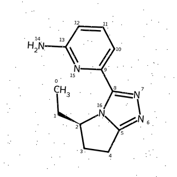 CC[C@@H]1CCc2nnc(-c3cccc(N)n3)n21